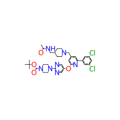 CC(=O)NCC1CCN(Cc2cc(Oc3cnc(N4CCN(C(=O)OC(C)(C)C)CC4)nc3)nc(-c3cc(Cl)cc(Cl)c3)c2)CC1